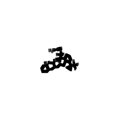 CC#N.CC(C)N(CCCc1c(C2(C(F)(F)F)CC2)cccc1C1(C(F)(F)F)CC1)Cc1ccccc1